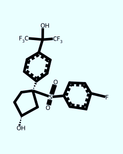 O=S(=O)(c1ccc(F)cc1)[C@]1(c2ccc(C(O)(C(F)(F)F)C(F)(F)F)cc2)CC[C@@H](O)C1